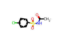 [CH2]C(=O)NS(=O)(=O)c1ccc(Cl)cc1